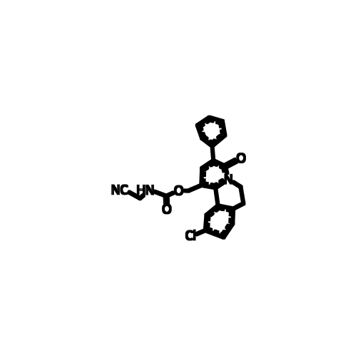 N#CCNC(=O)OCc1cc(-c2ccccc2)c(=O)n2c1-c1cc(Cl)ccc1CC2